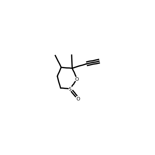 C#CC1(C)OS(=O)CCC1C